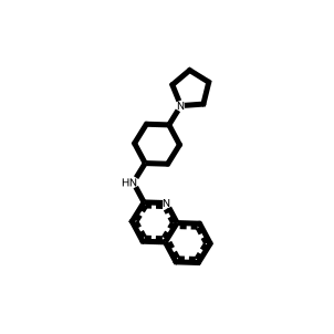 [c]1cc2ccccc2nc1NC1CCC(N2CCCC2)CC1